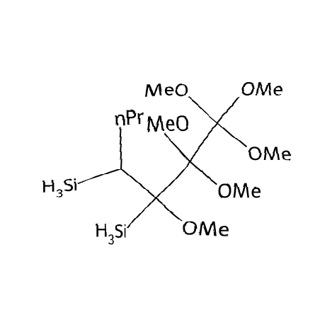 CCCC([SiH3])C([SiH3])(OC)C(OC)(OC)C(OC)(OC)OC